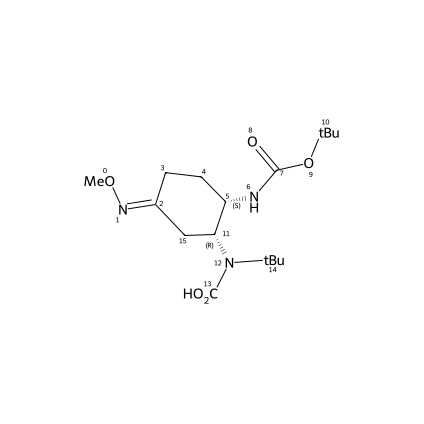 CON=C1CC[C@H](NC(=O)OC(C)(C)C)[C@H](N(C(=O)O)C(C)(C)C)C1